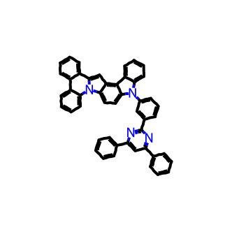 c1ccc(-c2cc(-c3ccccc3)nc(-c3cccc(-n4c5ccccc5c5c6cc7c8ccccc8c8ccccc8n7c6ccc54)c3)n2)cc1